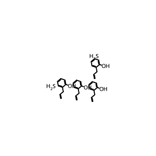 C=CCc1ccccc1O.C=CCc1ccccc1O.C=CCc1ccccc1O.C=CCc1ccccc1O.S.S